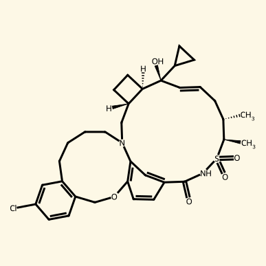 C[C@@H]1[C@@H](C)C/C=C/[C@@](O)(C2CC2)[C@@H]2CC[C@H]2CN2CCCCc3cc(Cl)ccc3COc3ccc(cc32)C(=O)NS1(=O)=O